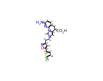 Nc1ccc(CC(C(=O)O)c2cn(CCc3cc(-c4ccc(Cl)s4)on3)cn2)cn1